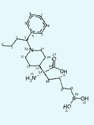 CCCC(c1ccccc1)N1CCC([C@](N)(CCCCB(O)O)C(=O)O)CC1